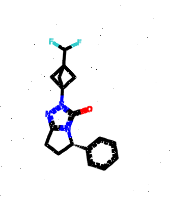 O=c1n(C23CC(C(F)F)(C2)C3)nc2n1[C@H](c1ccccc1)CC2